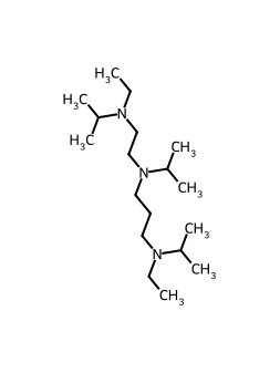 CCN(CCCN(CCN(CC)C(C)C)C(C)C)C(C)C